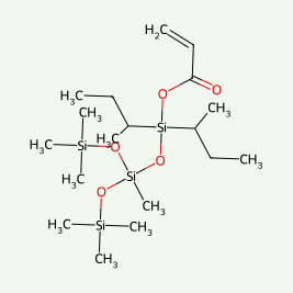 C=CC(=O)O[Si](O[Si](C)(O[Si](C)(C)C)O[Si](C)(C)C)(C(C)CC)C(C)CC